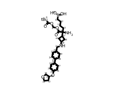 CC(C)(C)C(=O)OCOC(=O)C(N)(CCCCB(O)O)C1CC(NCc2ccc(-c3ccc(O[C@H]4CCOC4)cc3)cc2)C1